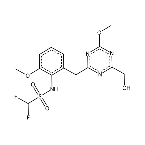 COc1nc(CO)nc(Cc2cccc(OC)c2NS(=O)(=O)C(F)F)n1